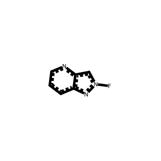 Fn1cc2ncccc2n1